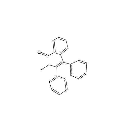 CCC(=C(c1ccccc1)c1ccccc1C=O)c1ccccc1